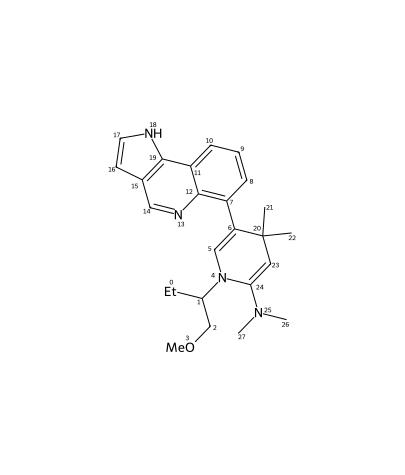 CCC(COC)N1C=C(c2cccc3c2ncc2cc[nH]c23)C(C)(C)C=C1N(C)C